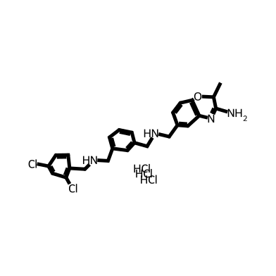 CC1Oc2ccc(CNCc3cccc(CNCc4ccc(Cl)cc4Cl)c3)cc2N=C1N.Cl.Cl.Cl